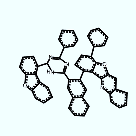 c1ccc(C2=NC(c3cccc4oc5ccccc5c34)NC(c3cc4ccccc4cc3-c3ccc(-c4ccccc4)c4oc5cc6ccccc6nc5c34)=N2)cc1